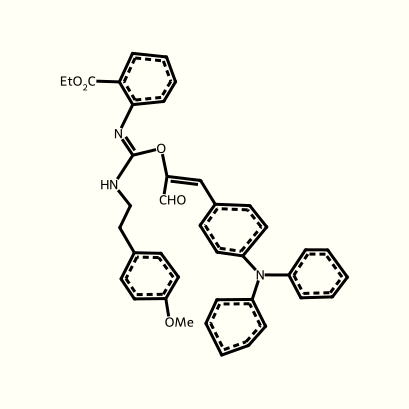 CCOC(=O)c1ccccc1/N=C(/NCCc1ccc(OC)cc1)O/C(C=O)=C/c1ccc(N(c2ccccc2)c2ccccc2)cc1